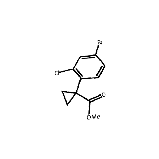 COC(=O)C1(c2ccc(Br)cc2Cl)CC1